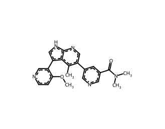 COc1ccncc1-c1c[nH]c2ncc(-c3cncc(C(=O)N(C)C)c3)c(C)c12